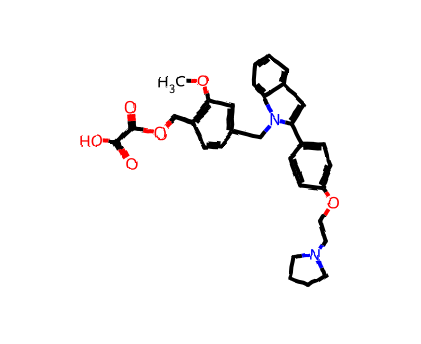 COc1cc(Cn2c(-c3ccc(OCCN4CCCC4)cc3)cc3ccccc32)ccc1COC(=O)C(=O)O